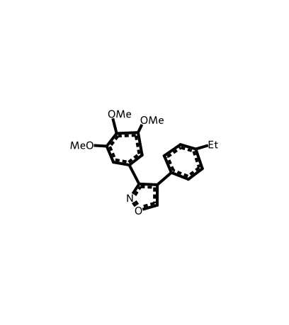 CCc1ccc(-c2conc2-c2cc(OC)c(OC)c(OC)c2)cc1